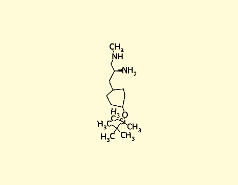 CNC[C@@H](N)CC1CCC(O[Si](C)(C)C(C)(C)C)CC1